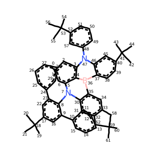 Cc1cc2c3c(c1)N(c1c(-c4ccccc4)cc(C(C)(C)C)cc1-c1ccccc1)c1cc4c(cc1B3c1ccc(C(C)(C)C)cc1N2c1cccc(C(C)(C)C)c1)CC(C)(C)C4